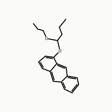 CCCOC(CCC)Oc1cccc2cc3ccccc3cc12